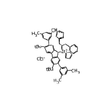 Cc1cc(C)cc(-c2cc3c(cc2C(C)(C)C)-c2cc(C(C)(C)C)c(-c4cc(C)cc(C)c4)cc2[CH]3[Zr+2]([C]2=CC=CC2)=[C](Cc2ccccc2)Cc2ccccc2)c1.[Cl-].[Cl-]